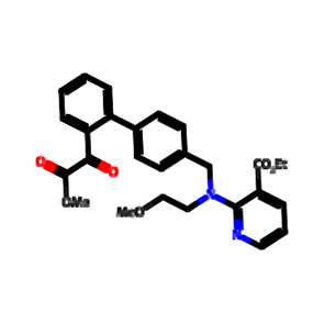 CCOC(=O)c1cccnc1N(CCOC)Cc1ccc(-c2ccccc2C(=O)C(=O)OC)cc1